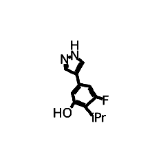 CC(C)c1c(O)cc(-c2cn[nH]c2)cc1F